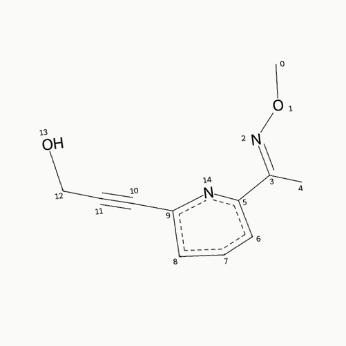 CON=C(C)c1cccc(C#CCO)n1